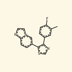 Cc1cc(-c2ncsc2-c2ccc3nccn3c2)ccc1F